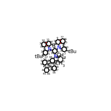 CC(C)(C)c1ccc(N2c3ccccc3B3c4ccccc4N(c4ccc(C(C)(C)C)cc4-c4ccccc4)c4cc(N5c6ccc([Si](c7ccccc7)(c7ccccc7)c7ccccc7)cc6C6(C)CCCCC56C)cc2c43)c(-c2ccccc2)c1